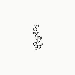 COc1ccc(F)cc1[C@H]1CCCN1c1ccn2ncc(OC(=O)N[C@H]3CC[C@H](O)CC3)c2n1